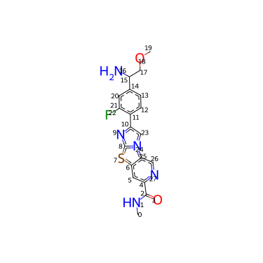 CNC(=O)c1cc2sc3nc(-c4ccc(C(N)COC)cc4F)cn3c2cn1